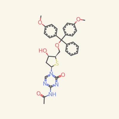 COc1ccc(C(OC[C@H]2S[C@@H](n3cnc(NC(C)=O)nc3=O)C[C@H]2O)(c2ccccc2)c2ccc(OC)cc2)cc1